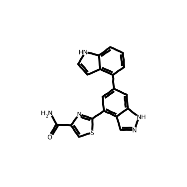 NC(=O)c1csc(-c2cc(-c3cccc4[nH]ccc34)cc3[nH]ncc23)n1